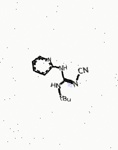 CC(C)(C)N/C(=N/C#N)Nc1ccccn1